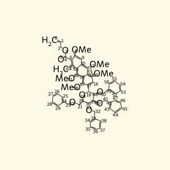 C=CCOC(=O)c1c(OC)cc2c(OC)c3c(OC)cc([C@@H]4O[C@H](COCc5ccccc5)[C@@H](OCc5ccccc5)[C@H](OCc5ccccc5)[C@H]4OCc4ccccc4)c(OC)c3c(OC)c2c1C